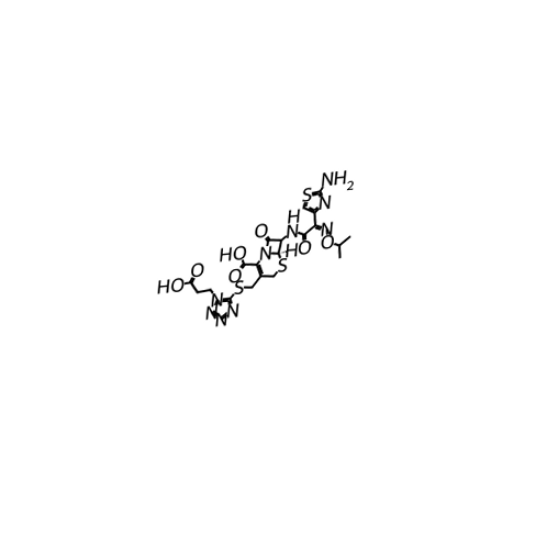 CC(C)O/N=C(\C(=O)NC1C(=O)N2C(C(=O)O)=C(CSc3nnnn3CCC(=O)O)CS[C@H]12)c1csc(N)n1